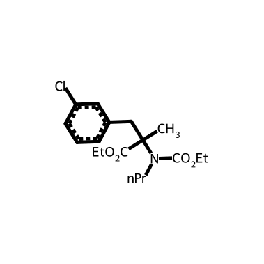 CCCN(C(=O)OCC)C(C)(Cc1cccc(Cl)c1)C(=O)OCC